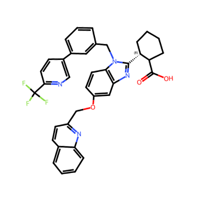 O=C(O)C1CCCC[C@H]1c1nc2cc(OCc3ccc4ccccc4n3)ccc2n1Cc1cccc(-c2ccc(C(F)(F)F)nc2)c1